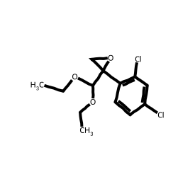 CCOC(OCC)C1(c2ccc(Cl)cc2Cl)CO1